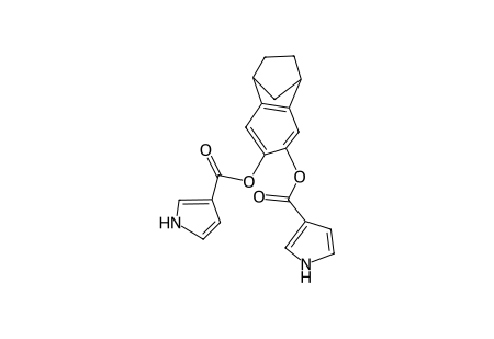 O=C(Oc1cc2c(cc1OC(=O)c1cc[nH]c1)C1CCC2C1)c1cc[nH]c1